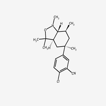 C[C@H]1C[C@@](C)(c2ccc(Cl)c(C#N)c2)C[C@@H]2[C@@H]1N(C)OC2(C)C